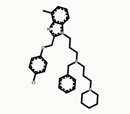 Cc1cccc2c1nc(COc1ccc(Cl)cc1)n2CCCN(CCCN1CCCCC1)Cc1ccccc1